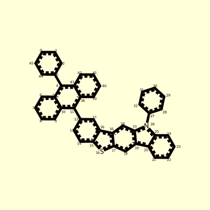 c1ccc(-c2c3ccccc3c(-c3ccc4sc5cc6c7ccccc7n(-c7ccccc7)c6cc5c4c3)c3ccccc23)cc1